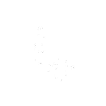 NC(=O)c1cccc2c1C(=O)N(c1ccc(CN3CCC(O)CC3)cc1)C2